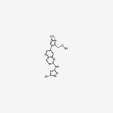 CC(C)OCc1nn(C)cc1-c1cnc2ccc(Nc3nnc(C(C)C)s3)nc2c1